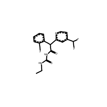 CCNC(=S)NC(=O)C(c1cc(C(F)F)ccn1)c1ccccc1F